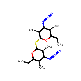 CC(=O)OCC1O[C@@H](S[C@@H]2OC(COC(C)=O)[C@H](OC(C)=O)C(N=[N+]=[N-])[C@@H]2OC(C)=O)C(OC(C)=O)C(N=[N+]=[N-])[C@H]1OC(C)=O